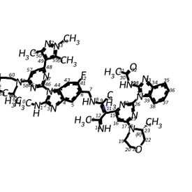 CNc1nc2cc(CN/C(C)=C(\C(C)=N)c3cc(N4CCOC[C@H]4C)nc(-n4c(NC(C)=O)nc5ccccc54)n3)c(F)cc2n1-c1nc(-c2c(C)nn(C)c2C)cc(N2CCOC[C@H]2C)n1